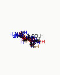 N=C(N)NCCCC(NC(=O)[C@@H]1CCCN1C(=O)C(CS)NC(=O)C(CC(=O)O)NC(=O)C(CCC(=O)O)NC(=O)C(Cc1ccccc1)NC(=O)C(Cc1ccc(O)cc1)NC(=O)CCS)C(=O)NCC(N)=O